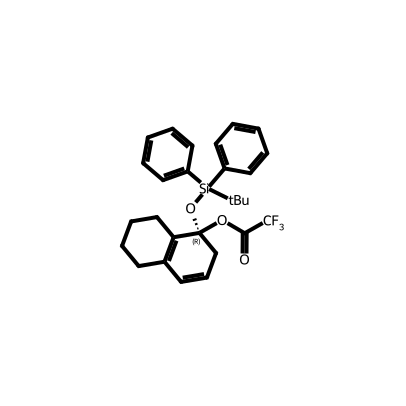 CC(C)(C)[Si](O[C@]1(OC(=O)C(F)(F)F)CC=CC2=C1CCCC2)(c1ccccc1)c1ccccc1